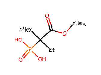 CCCCCCOC(=O)C(CC)(CCCCCC)P(=O)(O)O